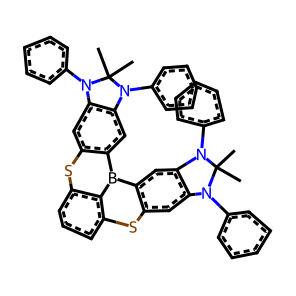 CC1(C)N(c2ccccc2)c2cc3c(cc2N1c1ccccc1)B1c2cc4c(cc2Sc2cccc(c21)S3)N(c1ccccc1)C(C)(C)N4c1ccccc1